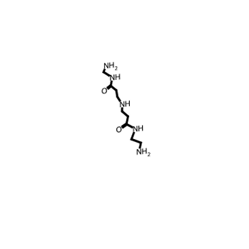 NCCNC(=O)CCNCCC(=O)NCN